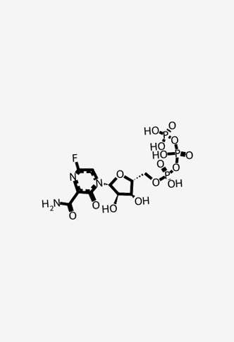 NC(=O)c1nc(F)cn([C@@H]2O[C@H](COP(=O)(O)OP(=O)(O)OP(=O)(O)O)[C@@H](O)[C@H]2O)c1=O